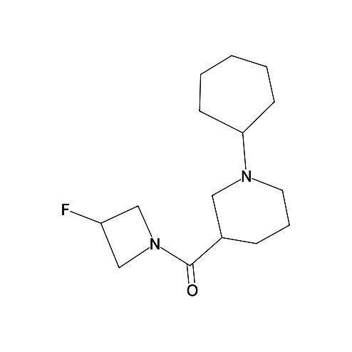 O=C(C1CCCN(C2CCCCC2)C1)N1CC(F)C1